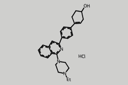 CCN1CCN(c2nc(-c3ccc(C4=CCC(O)CC4)cc3)cc3ccccc23)CC1.Cl